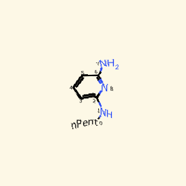 CCCCCNc1cccc(N)n1